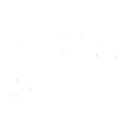 Cc1ccc(C(=O)Nc2ccc(N3CCNCC3)c(C(F)(F)F)c2)cc1-c1ccc2nc(N)ncc2c1